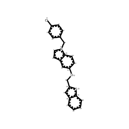 Clc1ccc(Cn2ccc3cc(OCc4cc5ccccc5s4)ccc32)cc1